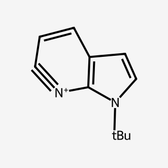 CC(C)(C)n1ccc2ccc#[n+]c21